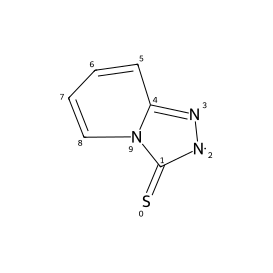 S=C1[N]N=C2C=CC=CN12